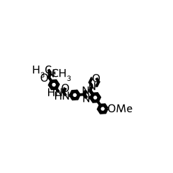 COc1cccc(-c2ccc3c(N4CCOCC4)nc(-c4ccc(NC(=O)Nc5ccc(C(=O)N(C)C)cc5)cc4)nc3c2)c1